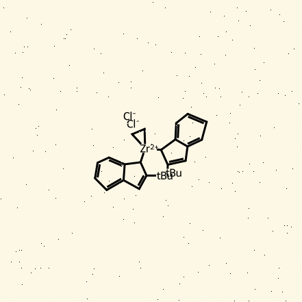 CC(C)(C)C1=Cc2ccccc2[CH]1[Zr+2]1([CH]2C(C(C)(C)C)=Cc3ccccc32)[CH2][CH2]1.[Cl-].[Cl-]